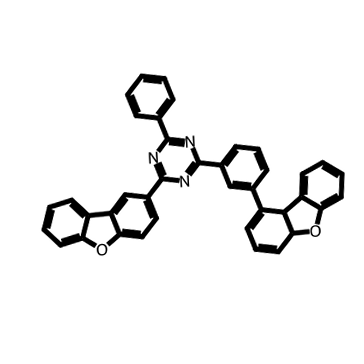 C1=CC2Oc3ccccc3C2C(c2cccc(-c3nc(-c4ccccc4)nc(-c4ccc5oc6ccccc6c5c4)n3)c2)=C1